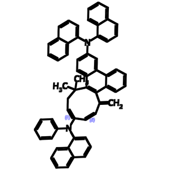 C=C1/C=C\C(N(c2ccccc2)c2cccc3ccccc23)=C/CC(C)(C)c2c1c1ccccc1c1cc(N(c3cccc4ccccc34)c3cccc4ccccc34)ccc21